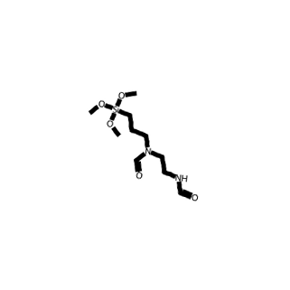 CO[Si](CCCN(C=O)CCNC=O)(OC)OC